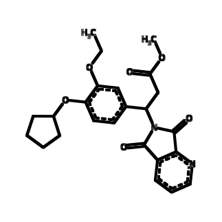 CCOc1cc(C(CC(=O)OC)N2C(=O)c3cccnc3C2=O)ccc1OC1CCCC1